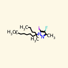 CCCCCCCC(C)(CCCC)n1nc(C)c(F)c1I